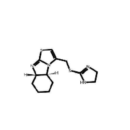 C1=C(CSC2=NCCN2)N2C(=N[C@H]3CCCC[C@@H]32)S1